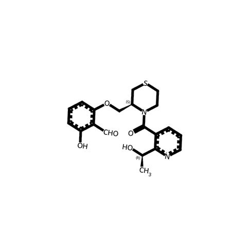 C[C@@H](O)c1ncccc1C(=O)N1CCSC[C@@H]1COc1cccc(O)c1C=O